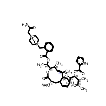 CO[C@H]1CC2C=C[C@@H]3C[C@]2(O[C@H]3[C@H](OC(=O)c2ccc[nH]2)[C@H](C)[C@H](C)O)/C(C)=C/[C@@H](C)[C@@H]([C@@H](C)OC(=O)c2ccccc2C[N+]23CC[N+](CC(N)=O)(CC2)CC3)OC1=O